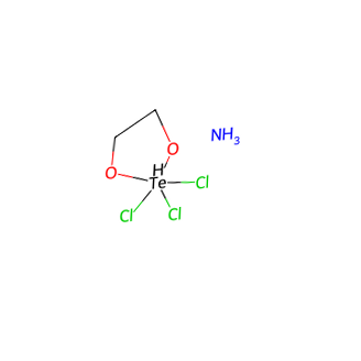 Cl[TeH]1(Cl)(Cl)OCCO1.N